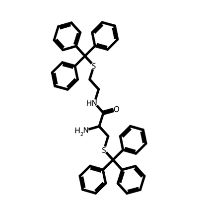 NC(CSC(c1ccccc1)(c1ccccc1)c1ccccc1)C(=O)NCCSC(c1ccccc1)(c1ccccc1)c1ccccc1